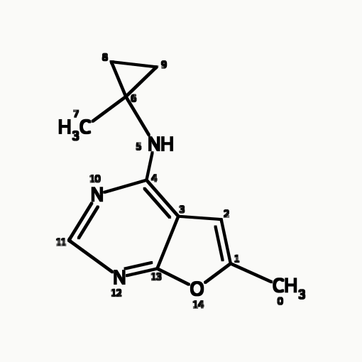 Cc1cc2c(NC3(C)CC3)ncnc2o1